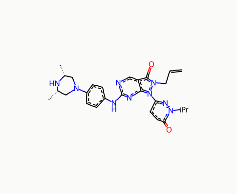 C=CCn1c(=O)c2cnc(Nc3ccc(N4C[C@@H](C)N[C@@H](C)C4)cc3)nc2n1-c1ccc(=O)n(C(C)C)n1